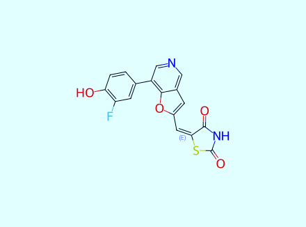 O=C1NC(=O)/C(=C\c2cc3cncc(-c4ccc(O)c(F)c4)c3o2)S1